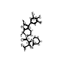 C[C@H]1c2nn(C)c(-c3cc(F)c(F)c(F)c3)c2CCN1C(=O)c1c(C(F)F)nc2n1CCCC2